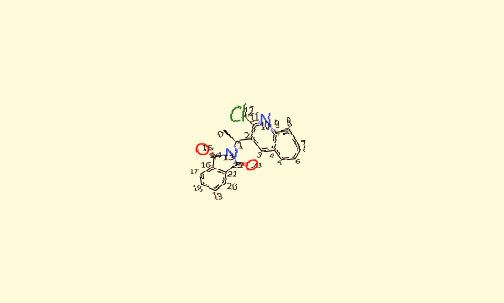 C[C@@H](c1cc2ccccc2nc1Cl)N1C(=O)c2ccccc2C1=O